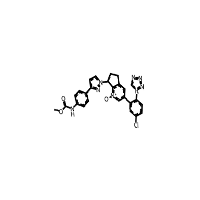 COC(=O)Nc1ccc(-c2ccn(C3CCc4cc(-c5cc(Cl)ccc5-n5cnnn5)c[n+]([O-])c43)n2)cc1